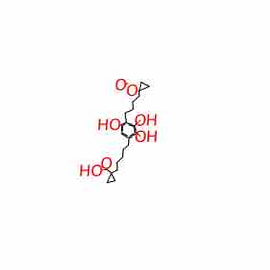 O=COC1(CCCCc2c(O)cc(CCCCCC3(C(=O)O)CC3)c(O)c2O)CC1